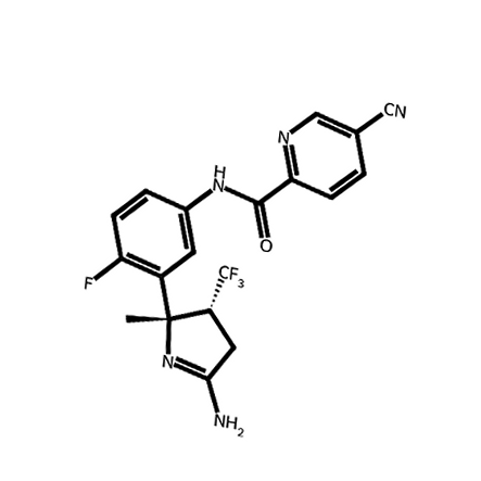 C[C@]1(c2cc(NC(=O)c3ccc(C#N)cn3)ccc2F)N=C(N)C[C@H]1C(F)(F)F